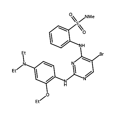 CCOc1cc(N(CC)CC)ccc1Nc1ncc(Br)c(Nc2ccccc2S(=O)(=O)NC)n1